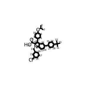 CC(C)Oc1ccc(-c2c(C(=O)O)n(Cc3cccc(Cl)c3)c3ccc(-c4ccc(C(C)(C)C)cc4)cc23)cc1